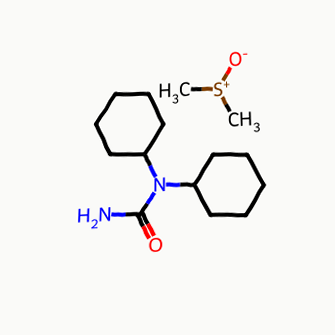 C[S+](C)[O-].NC(=O)N(C1CCCCC1)C1CCCCC1